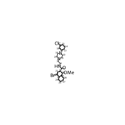 COc1c(C(=O)NCCN2CCN(c3cccc(Cl)c3)CC2)cc(Br)c2ccccc12